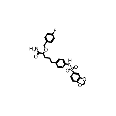 NC(=O)C(CCCc1ccc(NS(=O)(=O)c2ccc3c(c2)OCO3)cc1)OCc1ccc(F)cc1